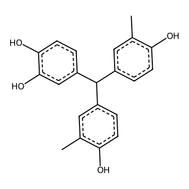 Cc1cc(C(c2ccc(O)c(C)c2)c2ccc(O)c(O)c2)ccc1O